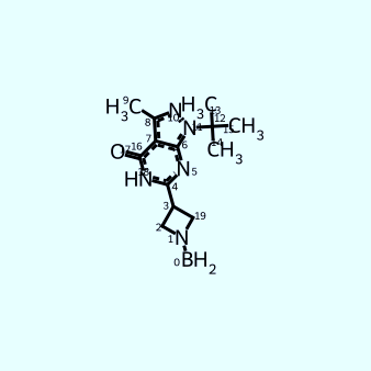 BN1CC(c2nc3c(c(C)nn3C(C)(C)C)c(=O)[nH]2)C1